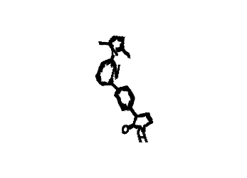 Cc1ccc(C)n1-c1cccc(-c2ccc(C3CCNC3=O)cc2)n1